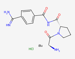 CC[C@H](C)[C@H](N)C(=O)N1CCC[C@H]1C(=O)NC(=O)c1ccc(C(=N)N)cc1.Cl